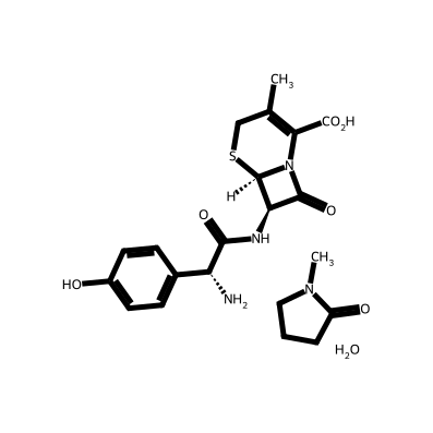 CC1=C(C(=O)O)N2C(=O)[C@@H](NC(=O)[C@H](N)c3ccc(O)cc3)[C@H]2SC1.CN1CCCC1=O.O